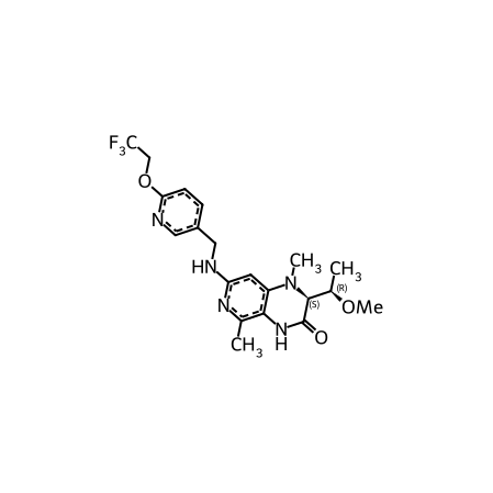 CO[C@H](C)[C@H]1C(=O)Nc2c(cc(NCc3ccc(OCC(F)(F)F)nc3)nc2C)N1C